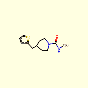 CC(C)(C)NC(=O)N1CCC(Cc2cccs2)CC1